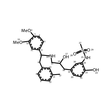 COc1ccc(C(Cc2cccc(C)c2)NCC(O)Cc2ccc(O)c(NS(C)(=O)=O)c2)cc1OC